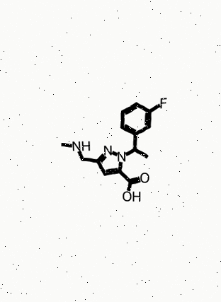 CNCc1cc(C(=O)O)n(C(C)c2cccc(F)c2)n1